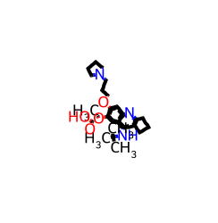 COc1cc2c(NC(C)(C)C)c3c(nc2cc1OCCCN1CCCC1)CCC3.O=CO